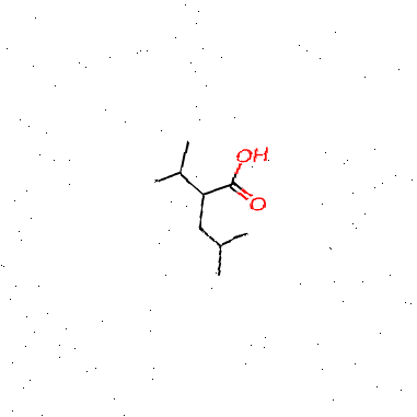 CC(C)CC(C(=O)O)C(C)C